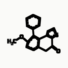 COc1ccc2c(c1-c1ccccc1)-c1ccsc1C(=O)C2